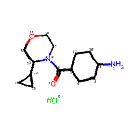 Cl.NC1CCC(C(=O)N2CCOCC2C2CC2)CC1